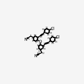 N#CCc1ccc(Oc2ccc(CC#N)cc2C#Cc2ccc(Cl)cc2)c(C#Cc2ccc(Cl)cc2)c1